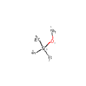 CCCO[Si](CC)(CC)C(C)C